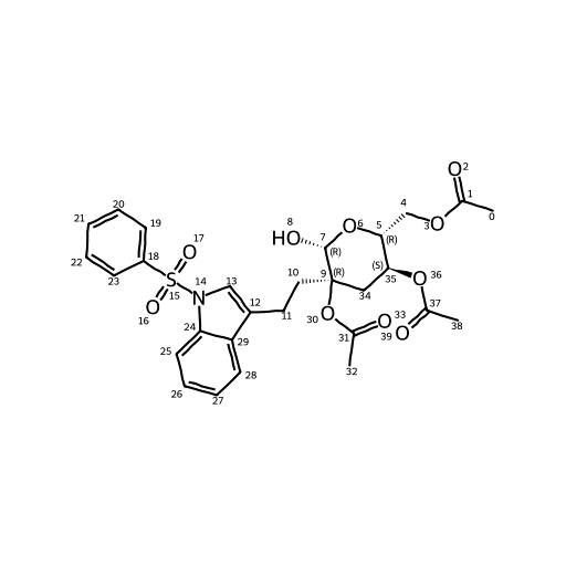 CC(=O)OC[C@H]1O[C@@H](O)[C@](CCc2cn(S(=O)(=O)c3ccccc3)c3ccccc23)(OC(C)=O)C[C@@H]1OC(C)=O